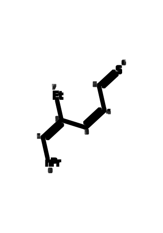 CCC/C=C(\C=C/C=S)CC